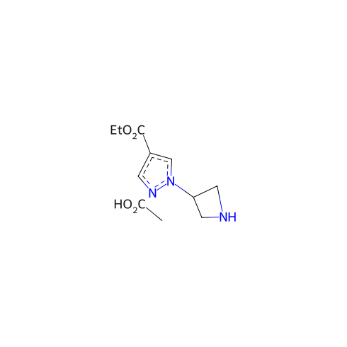 CC(=O)O.CCOC(=O)c1cnn(C2CNC2)c1